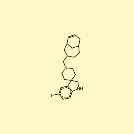 Fc1ccc2c(c1)C1(CCN(CC3CCC4CC=CC(C4)C3)CC1)CN2